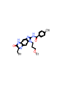 CCOCCCn1c(NC(=O)c2ccc(C#N)cc2)nc2cc3[nH]c(=O)c(CC(C)C)nc3cc21